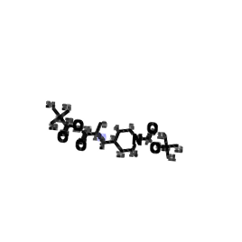 C/C(=C\C1CCN(C(=O)OC(C)(C)C)CC1)C(=O)OC(=O)C(C)(C)C